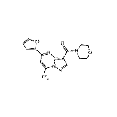 O=C(c1cnn2c(C(F)(F)F)cc(-c3ccco3)nc12)N1CCOCC1